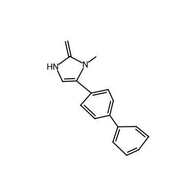 C=C1NC=C(c2ccc(-c3ccccc3)cc2)N1C